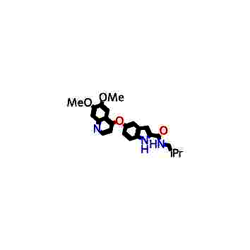 COc1cc2nccc(Oc3ccc4[nH]c(C(=O)NCC(C)C)cc4c3)c2cc1OC